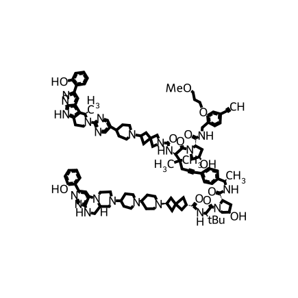 C#Cc1ccc(CNC(=O)[C@@H]2C[C@@H](O)CN2C(=O)[C@@H](NC(=O)N2CC3(CC(N4CCC(c5cnc(N6CCc7[nH]c8nnc(-c9ccccc9O)cc8c7[C@@H]6C)nc5)CC4)C3)C2)C(C)(C)CC#Cc2ccc([C@H](C)NC(=O)[C@@H]3C[C@@H](O)CN3C(=O)[C@@H](NC(=O)[C@H]3CC4(C3)C[C@H](N3CCC(N5CCC(N6CCN7c8cc(-c9ccccc9O)nnc8NC[C@H]7C6)CC5)CC3)C4)C(C)(C)C)cc2)c(OCCCOC)c1